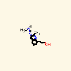 CCN(C)/C=N/c1cc2cccc(/C=C/CO)c2nc1C